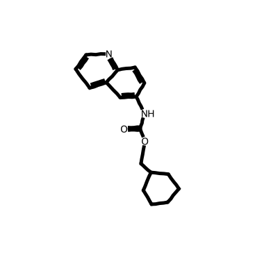 O=C(Nc1ccc2ncccc2c1)OCC1CCCCC1